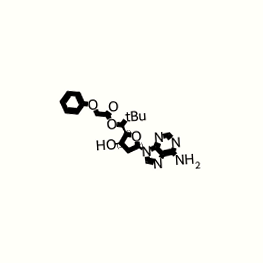 CC(C)(C)C(OC(=O)COc1ccccc1)[C@H]1O[C@@H](n2cnc3c(N)ncnc32)C[C@@H]1O